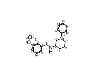 COc1cc(CNC2CCCN(c3cccnc3)C2)ccn1